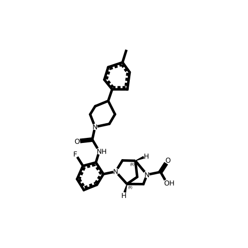 Cc1ccc(C2CCN(C(=O)Nc3c(F)cccc3N3C[C@H]4C[C@@H]3CN4C(=O)O)CC2)cc1